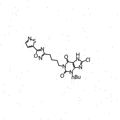 CCCCn1c(=O)n(CCCCc2noc(-c3ccns3)n2)c(=O)c2[nH]c(Cl)nc21